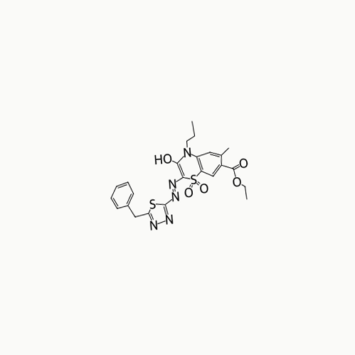 CCCN1C(O)=C(N=Nc2nnc(Cc3ccccc3)s2)S(=O)(=O)c2cc(C(=O)OCC)c(C)cc21